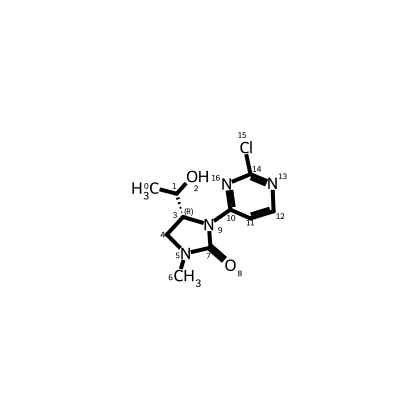 CC(O)[C@H]1CN(C)C(=O)N1c1ccnc(Cl)n1